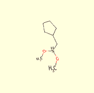 CO[SiH](CC1CCCC1)OC